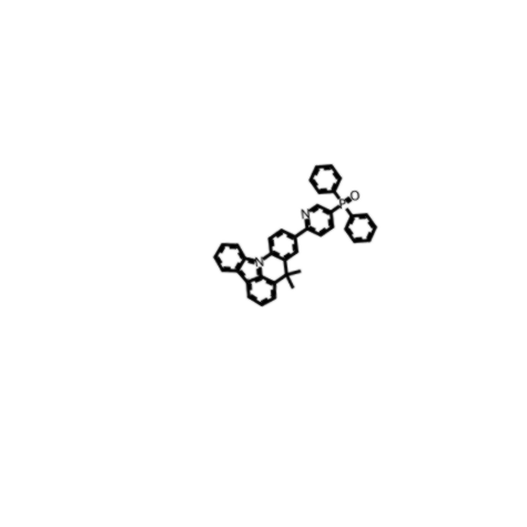 CC1(C)c2cc(-c3ccc(P(=O)(c4ccccc4)c4ccccc4)cn3)ccc2-n2c3ccccc3c3cccc1c32